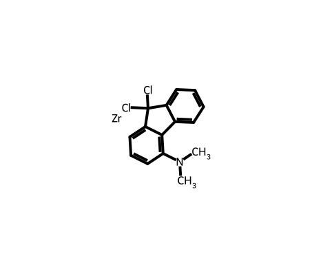 CN(C)c1cccc2c1-c1ccccc1C2(Cl)Cl.[Zr]